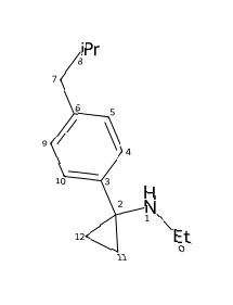 CCNC1(c2ccc(CC(C)C)cc2)CC1